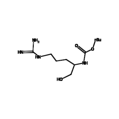 CCCCOC(=O)NC(CO)CCCNC(=N)N